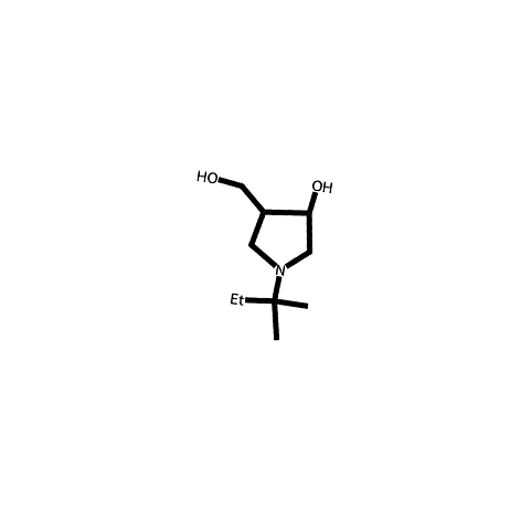 CCC(C)(C)N1CC(O)C(CO)C1